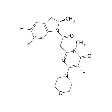 C[C@@H]1Cc2cc(F)c(F)cc2N1C(=O)Cc1nc(N2CCOCC2)c(F)c(=O)n1C